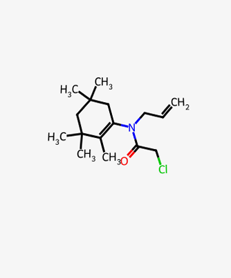 C=CCN(C(=O)CCl)C1=C(C)C(C)(C)CC(C)(C)C1